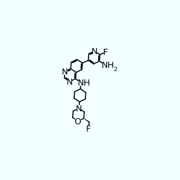 Nc1cc(-c2ccc3ncnc(NC4CCC(N5CCO[C@H](CF)C5)CC4)c3c2)cnc1F